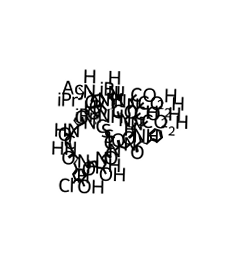 CCC(C)[C@H](NC(=O)[C@H](Cc1c[nH]cn1)NC(=O)[C@@H]1CSSC[C@H](NC(=O)CNC(=O)[C@H](Cc2ccccc2)NC(=O)[C@@H](CN(CCN(CC(=O)O)CC(=O)O)CC(=O)O)N(CC(=O)O)CC(=O)O)C(=O)N2CC(O)C[C@H]2C(=O)N[C@@H](Cc2ccc(O)c(Cl)c2)C(=O)NCC(=O)N[C@@H](CC(C)C)C(=O)N1)C(=O)N[C@@H](CC(C)C)C(C)=O